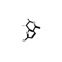 C=C1O[C@H](C)[C@@H](C)c2nc(Cl)ccc21